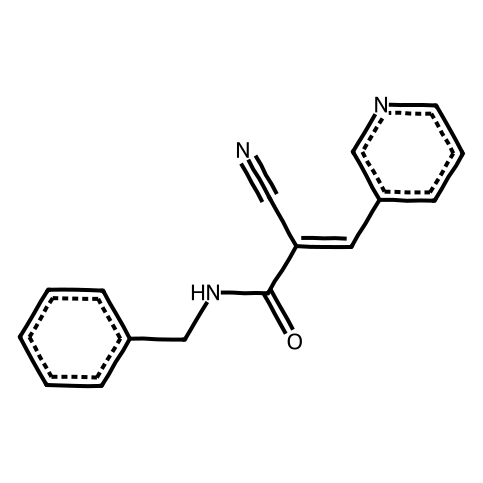 N#C/C(=C\c1cccnc1)C(=O)NCc1ccccc1